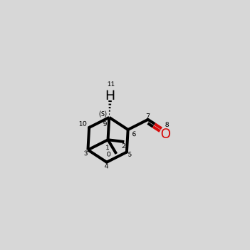 CC1(C)C2CCC(C=O)[C@@H]1C2